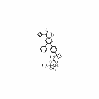 CC(C)(C)OC(=O)NC1(c2ccc(-c3nc4c(cc3-c3ccccc3)N(C3=CC=C3)C(=O)CO4)cc2)CCC1